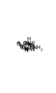 CCc1nc2c(N)ncc(-c3cnn(C4CCN(CCOC)CC4)c3)c2nc1N[C@H]1CCOC1